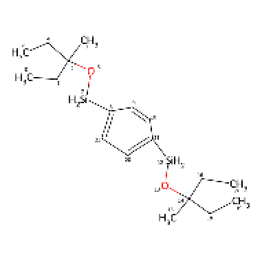 CCC(C)(CC)O[SiH2]c1ccc([SiH2]OC(C)(CC)CC)cc1